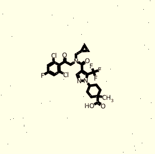 CC1(C(=O)O)CCC(n2ncc(C(=O)N(CC(=O)c3c(Cl)cc(F)cc3Cl)CC3CC3)c2C(F)(F)F)CC1